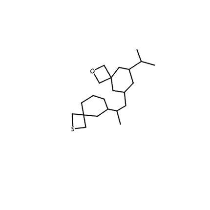 CC(C)C1CC(CC(C)C2CCCC3(CSC3)C2)CC2(COC2)C1